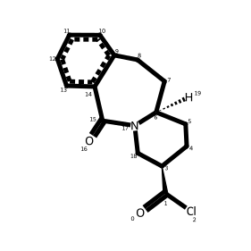 O=C(Cl)[C@@H]1CC[C@@H]2CCc3ccccc3C(=O)N2C1